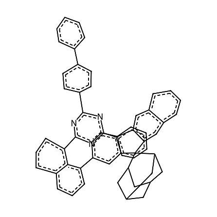 c1ccc(-c2ccc(-c3nc(-c4ccccc4)nc(-c4cccc5cccc(-c6ccc7c(c6)C6(c8cc9ccccc9cc8-7)C7CC8CC(C7)CC6C8)c45)n3)cc2)cc1